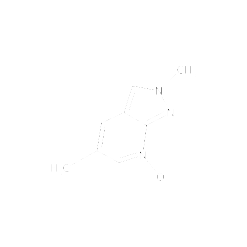 Cc1cc2cn(C)nc2[n+]([O-])c1